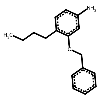 CCCCc1ccc(N)cc1OCc1ccccc1